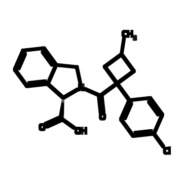 CC1CC(C(=O)N2Cc3ccccc3[C@H]2C(=O)O)(c2ccc(Cl)cc2)C1